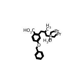 CC(C)C[PH](C)(CC(C)C)CC(C)Cc1cc(OCc2ccccc2)ccc1C(=O)O